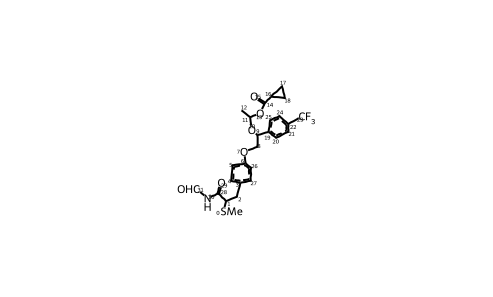 CSC(Cc1ccc(OCC(OC(C)OC(=O)C2CC2)c2ccc(C(F)(F)F)cc2)cc1)C(=O)NC=O